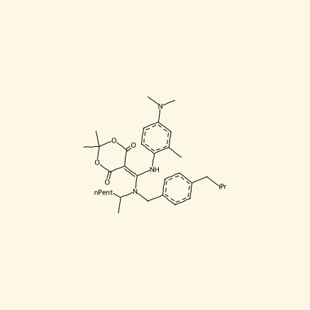 CCCCCC(C)N(Cc1ccc(CC(C)C)cc1)C(Nc1ccc(N(C)C)cc1C)=C1C(=O)OC(C)(C)OC1=O